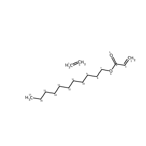 C=C.C=CC(=O)OCCCCCCCCCCC